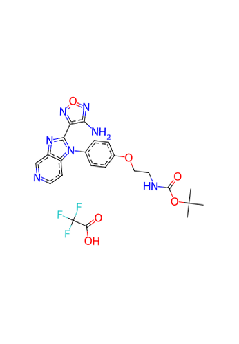 CC(C)(C)OC(=O)NCCOc1ccc(-n2c(-c3nonc3N)nc3cnccc32)cc1.O=C(O)C(F)(F)F